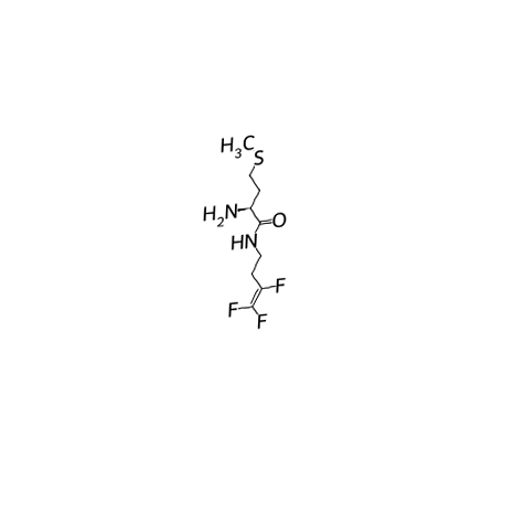 CSCC[C@H](N)C(=O)NCCC(F)=C(F)F